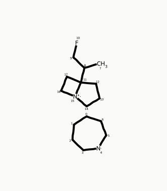 C1CCC[N]CC1.CC(CF)C12CCC[N+]1CC2